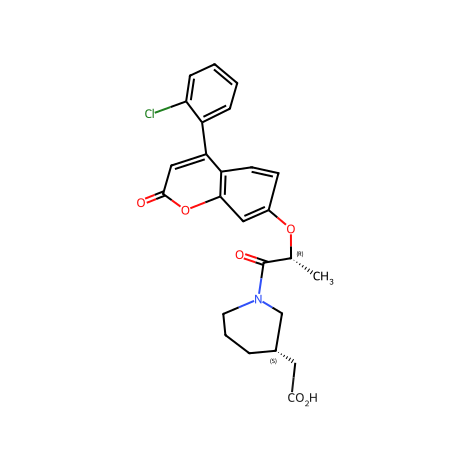 C[C@@H](Oc1ccc2c(-c3ccccc3Cl)cc(=O)oc2c1)C(=O)N1CCC[C@@H](CC(=O)O)C1